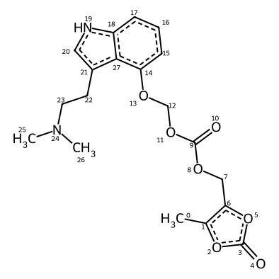 Cc1oc(=O)oc1COC(=O)OCOc1cccc2[nH]cc(CCN(C)C)c12